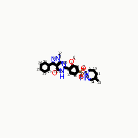 COc1cc(S(=O)(=O)N2CCCC(C)CN2)ccc1-c1nc2c(c(C3CCCCC3)nn2C)c(=O)[nH]1